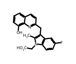 Cc1c(Cc2ccc3cccc(O)c3n2)c2cc(F)ccc2n1CC(=O)O